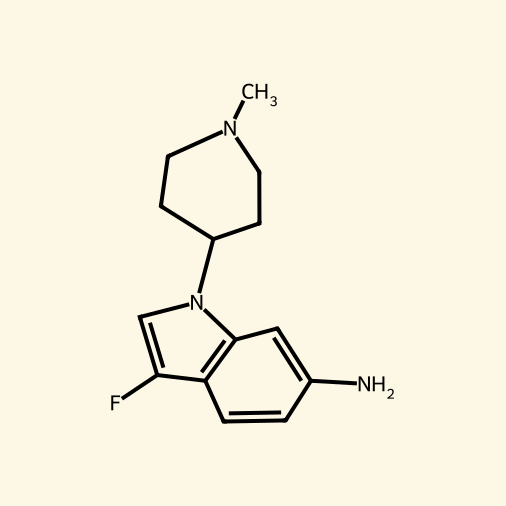 CN1CCC(n2cc(F)c3ccc(N)cc32)CC1